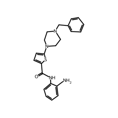 Nc1ccccc1NC(=O)c1ccc(N2CCN(Cc3ccccc3)CC2)s1